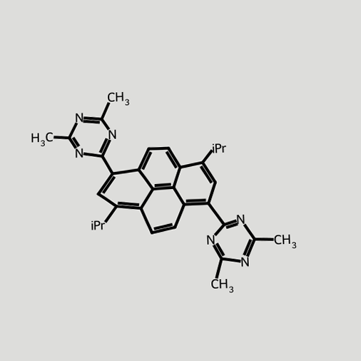 Cc1nc(C)nc(-c2cc(C(C)C)c3ccc4c(-c5nc(C)nc(C)n5)cc(C(C)C)c5ccc2c3c45)n1